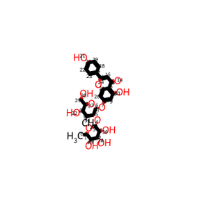 CC1O[C@@H](OC2[C@H](Oc3cc(O)c4c(=O)cc(-c5ccc(O)cc5)oc4c3)OC(CO)[C@@H](O)[C@H]2C)C(O)[C@@H](O)[C@@H]1O